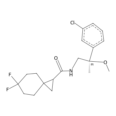 CO[C@@](C)(CNC(=O)C1CC12CCC(F)(F)CC2)c1cccc(Cl)c1